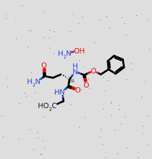 NC(=O)CC[C@H](NC(=O)OCc1ccccc1)C(=O)NCC(=O)O.NO